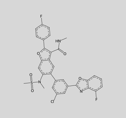 CNC(=O)c1c(-c2ccc(F)cc2)oc2cc(N(C)S(C)(=O)=O)c(-c3cc(Cl)cc(-c4nc5c(F)cccc5o4)c3)cc12